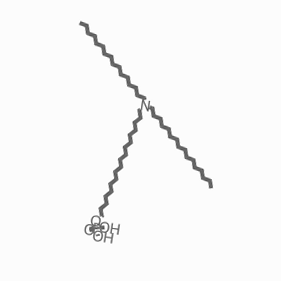 CCCCCCCCCCCCCCCCN(CCCCCCCCCCCCCCCC)CCCCCCCCCCCCCCCCCCOP(=O)(O)O